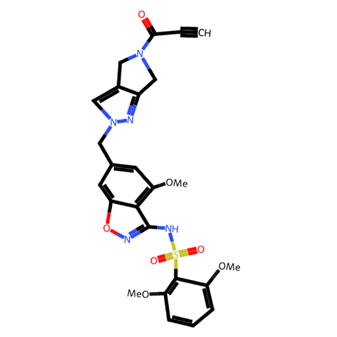 C#CC(=O)N1Cc2cn(Cc3cc(OC)c4c(NS(=O)(=O)c5c(OC)cccc5OC)noc4c3)nc2C1